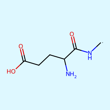 [CH2]NC(=O)C(N)CCC(=O)O